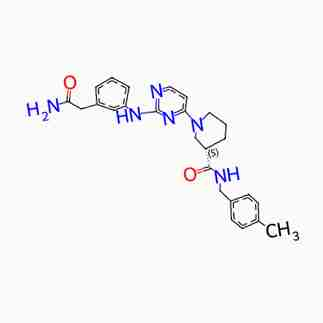 Cc1ccc(CNC(=O)[C@H]2CCCN(c3ccnc(Nc4cccc(CC(N)=O)c4)n3)C2)cc1